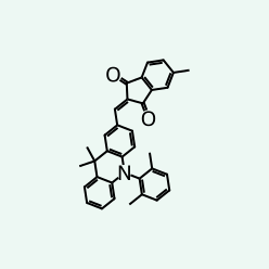 Cc1ccc2c(c1)C(=O)/C(=C\c1ccc3c(c1)C(C)(C)c1ccccc1N3c1c(C)cccc1C)C2=O